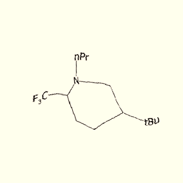 CCCN1CC(C(C)(C)C)CCC1C(F)(F)F